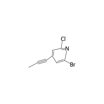 CC#Cc1cc(Cl)nc(Br)c1